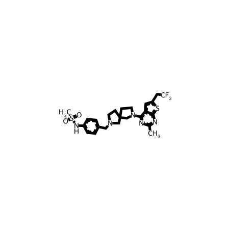 Cc1nc(N2CCC3(CCN(Cc4ccc(NS(C)(=O)=O)cc4)C3)C2)c2cc(CC(F)(F)F)sc2n1